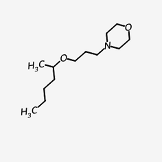 CCCCC(C)OCCCN1CCOCC1